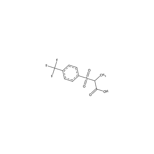 CC(C(=O)O)S(=O)(=O)c1ccc(C(F)(F)F)cc1